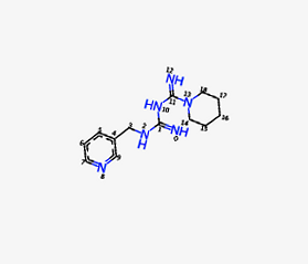 N=C(NCc1cccnc1)NC(=N)N1CCCCC1